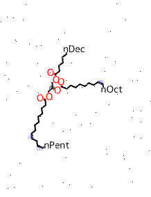 CCCCC/C=C\C/C=C\CCCCCCCC(=O)OC[C@@H](COC(=O)CCCCCCCCCCCCCCC)OC(=O)CCCCCCC/C=C\CCCCCCCC